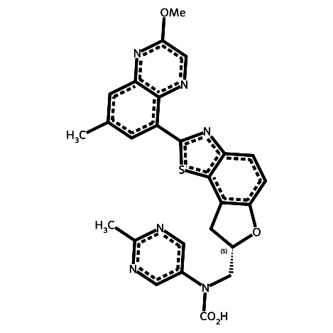 COc1cnc2c(-c3nc4ccc5c(c4s3)C[C@@H](CN(C(=O)O)c3cnc(C)nc3)O5)cc(C)cc2n1